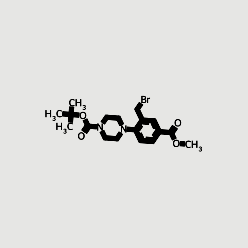 COC(=O)c1ccc(N2CCN(C(=O)OC(C)(C)C)CC2)c(CBr)c1